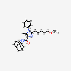 Cc1c(C(=O)NC23CC4CC(CC(C4)C2)C3)nc(CCCCCO[N+](=O)[O-])n1-c1ccccc1